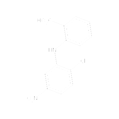 O=C(O)c1ccccc1Nc1cc([N+](=O)[O-])ccc1Cl